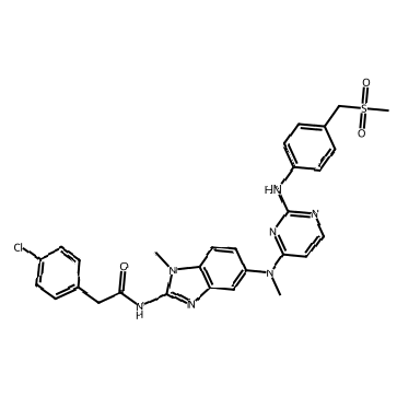 CN(c1ccc2c(c1)nc(NC(=O)Cc1ccc(Cl)cc1)n2C)c1ccnc(Nc2ccc(CS(C)(=O)=O)cc2)n1